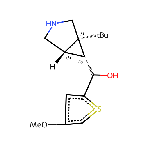 COc1csc(C(O)[C@@H]2[C@@H]3CNC[C@@]23C(C)(C)C)c1